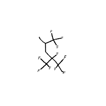 CC(CC(F)(C(F)(F)F)C(F)(F)F)C(F)(F)F